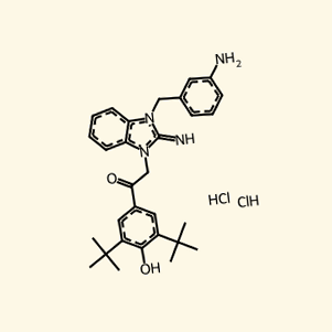 CC(C)(C)c1cc(C(=O)Cn2c(=N)n(Cc3cccc(N)c3)c3ccccc32)cc(C(C)(C)C)c1O.Cl.Cl